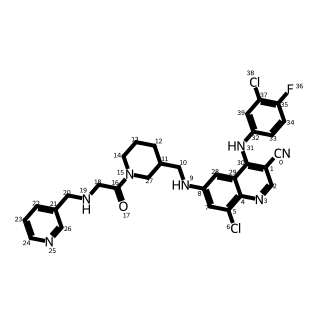 N#Cc1cnc2c(Cl)cc(NCC3CCCN(C(=O)CNCc4cccnc4)C3)cc2c1Nc1ccc(F)c(Cl)c1